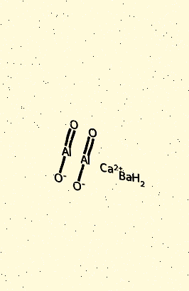 [BaH2].[Ca+2].[O]=[Al][O-].[O]=[Al][O-]